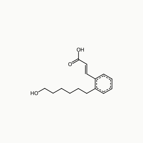 O=C(O)/C=C/c1ccccc1CCCCCCO